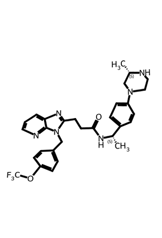 C[C@H](NC(=O)CCc1nc2cccnc2n1Cc1ccc(OC(F)(F)F)cc1)c1ccc(N2CCN[C@@H](C)C2)cc1